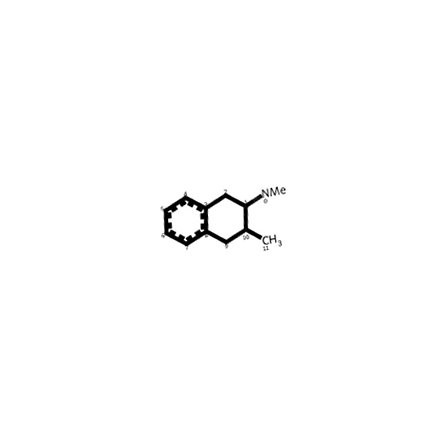 CNC1Cc2ccccc2CC1C